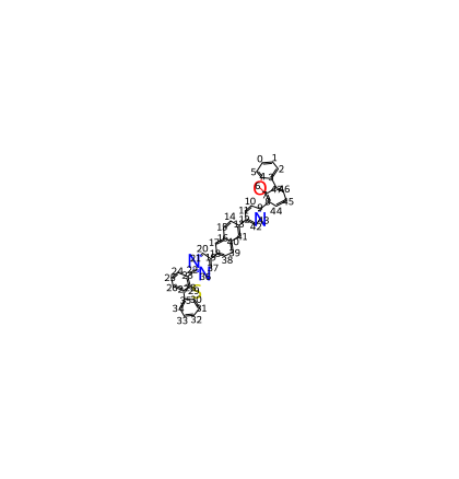 c1ccc2c(c1)oc1c(-c3ccc(-c4ccc5cc(-c6cnc(-c7cccc8c7sc7ccccc78)nc6)ccc5c4)cn3)cccc12